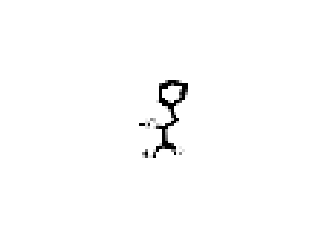 CCC(C)C(=O)C(O)Cc1ccccc1